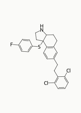 Fc1ccc(SC23CCNC2CCc2cc(CCc4c(Cl)cccc4Cl)ccc23)cc1